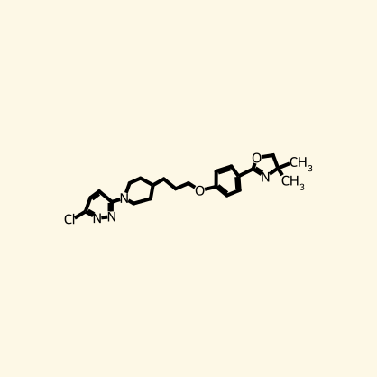 CC1(C)COC(c2ccc(OCCCC3CCN(c4ccc(Cl)nn4)CC3)cc2)=N1